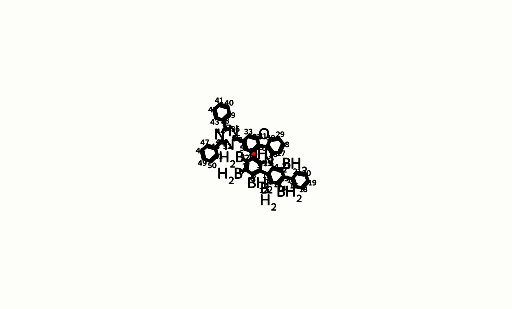 Bc1c(B)c(B)c2c(c1B)c1c(B)c(B)c(-c3ccccc3)c(B)c1n2-c1cccc2oc3cc(-c4nc(-c5ccccc5)nc(-c5ccccc5)n4)ccc3c12